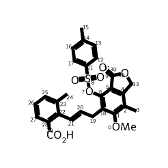 COc1c(C)c2c(c(OS(=O)(=O)c3ccc(C)cc3)c1C/C=C/c1c(C)cccc1C(=O)O)C(=O)OC2